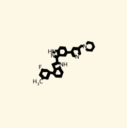 Cc1cc(F)cc(-c2cccc3[nH]c(-c4n[nH]c5ccc(-c6cncc(CN7CCCCC7)c6)cc45)cc23)c1